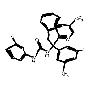 O=C(Nc1cccc(F)c1)NC(Cc1ccccc1)(c1cc(F)cc(C(F)(F)F)c1)c1ccc(C(F)(F)F)cn1